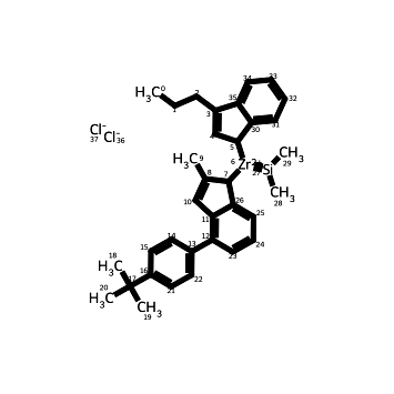 CCCC1=C[CH]([Zr+2]([CH]2C(C)=Cc3c(-c4ccc(C(C)(C)C)cc4)cccc32)=[Si](C)C)c2ccccc21.[Cl-].[Cl-]